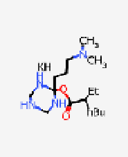 CCCCC(CC)C(=O)OC1(CCCN(C)C)NCNCN1.[KH]